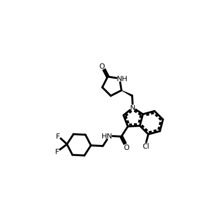 O=C1CC[C@H](Cn2cc(C(=O)NCC3CCC(F)(F)CC3)c3c(Cl)cccc32)N1